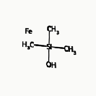 C[Si](C)(C)O.[Fe]